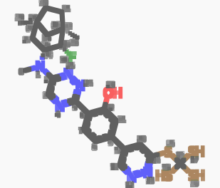 CN(c1cnc(-c2ccc(-c3cnnc(SC(S)(S)S)c3)cc2O)nn1)[C@@H]1C[C@@]2(C)CC[C@](C)(C2)[C@@H]1F